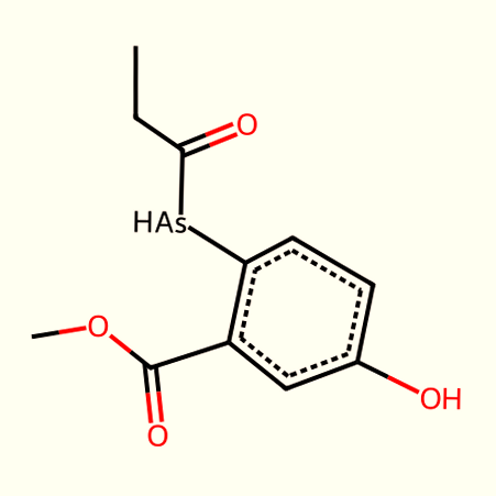 CCC(=O)[AsH]c1ccc(O)cc1C(=O)OC